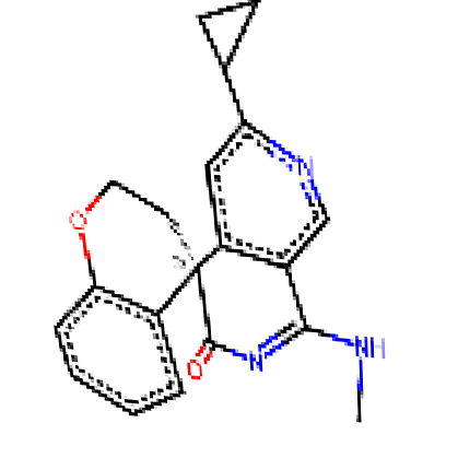 CNC1=NC(=O)[C@]2(CCOc3ccccc32)c2cc(C3CC3)ncc21